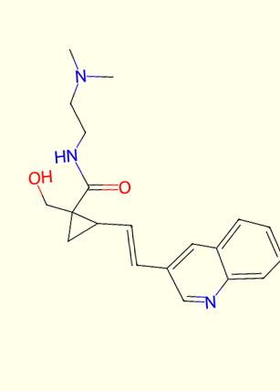 CN(C)CCNC(=O)C1(CO)CC1C=Cc1cnc2ccccc2c1